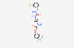 O=C(COc1ccc(Cl)c(Cl)c1)NC12CC(NC(=O)NCc3cccc(F)c3)(C1)C2